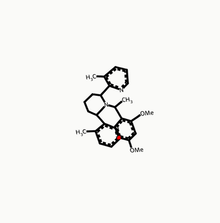 COc1ccc(C(C)N2C(c3ncccc3C)CCCC2c2ncccc2C)c(OC)c1